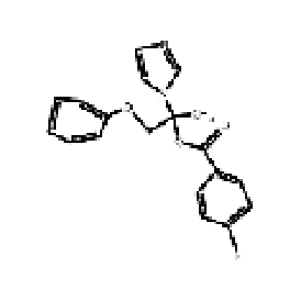 CC(COc1ccccc1)(OC(=O)c1ccc(F)cc1)n1ccnc1